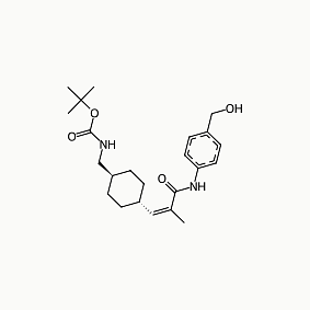 C/C(=C/[C@H]1CC[C@H](CNC(=O)OC(C)(C)C)CC1)C(=O)Nc1ccc(CO)cc1